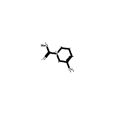 COC(=O)N1CCC=C(C)C1